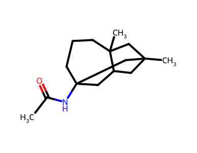 CC(=O)NC12CCCC3(C)CC(C)(CC3C1)C2